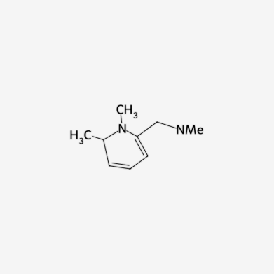 CNCC1=CC=CC(C)N1C